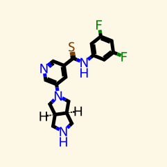 Fc1cc(F)cc(NC(=S)c2cncc(N3C[C@H]4CNC[C@H]4C3)c2)c1